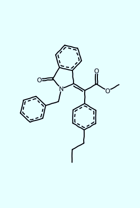 CCCc1ccc(/C(C(=O)OC)=C2/c3ccccc3C(=O)N2Cc2ccccc2)cc1